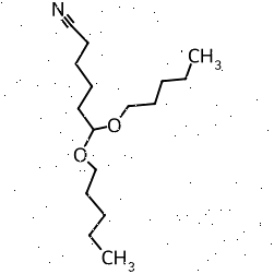 CCCCCOC(CCCCC#N)OCCCCC